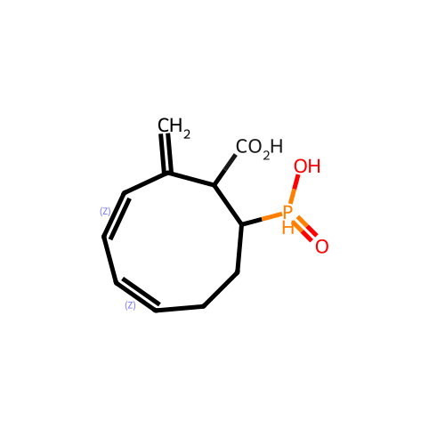 C=C1/C=C\C=C/CCC([PH](=O)O)C1C(=O)O